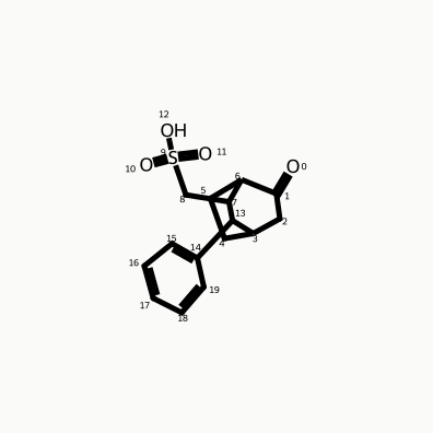 O=C1CC2CCC1C(CS(=O)(=O)O)C2c1ccccc1